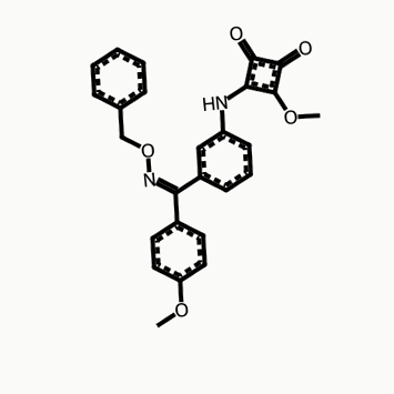 COc1ccc(C(=NOCc2ccccc2)c2cccc(Nc3c(OC)c(=O)c3=O)c2)cc1